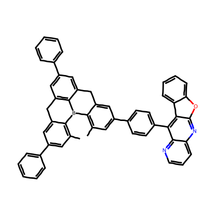 Cc1cc(-c2ccccc2)cc2c1B1c3c(C)cc(-c4ccc(-c5c6ncccc6nc6oc7ccccc7c56)cc4)cc3Cc3cc(-c4ccccc4)cc(c31)C2